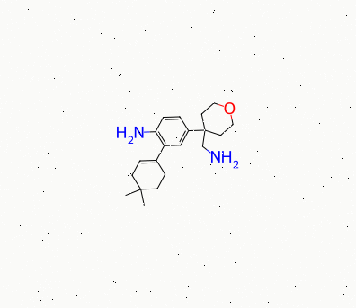 CC1(C)CC=C(c2cc(C3(CN)CCOCC3)ccc2N)CC1